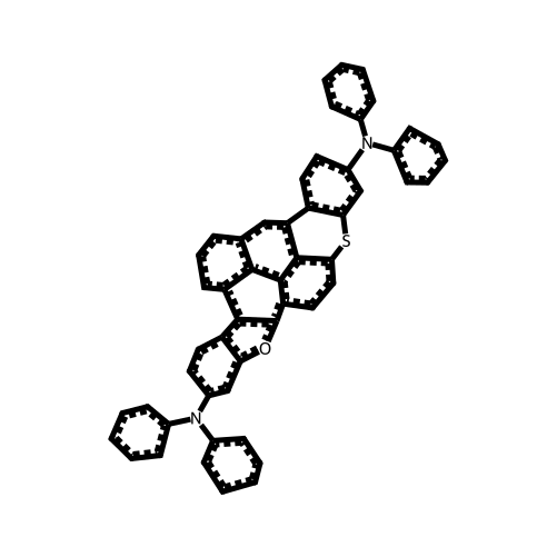 c1ccc(N(c2ccccc2)c2ccc3c(c2)Sc2ccc4c5oc6cc(N(c7ccccc7)c7ccccc7)ccc6c5c5cccc6cc-3c2c4c65)cc1